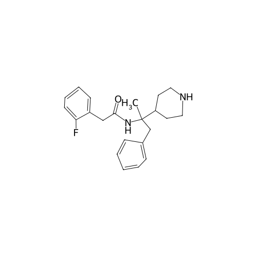 CC(Cc1ccccc1)(NC(=O)Cc1ccccc1F)C1CCNCC1